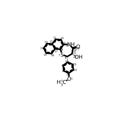 COc1ccc([C@@H]2Sc3c(ccc4ccccc34)NC(=O)[C@@H]2O)cc1